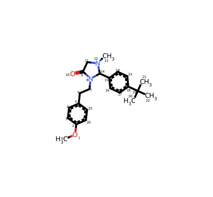 COc1ccc(CCN2C(=O)CN(C)C2c2ccc(C(C)(C)C)cc2)cc1